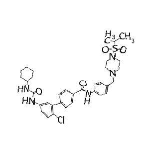 CC(C)S(=O)(=O)N1CCN(Cc2ccc(NC(=O)c3ccc(-c4cc(NC(=O)NC5CCCCC5)ccc4Cl)cc3)cc2)CC1